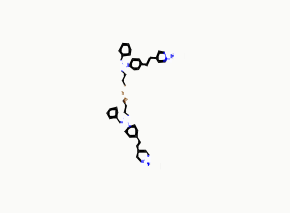 CN1C=CC(/C=C/c2ccc(N(CCCCSSCCCCN(Cc3ccccc3)c3ccc(/C=C/c4cc[n+](C)cc4)cc3)Cc3ccccc3)cc2)=CC1